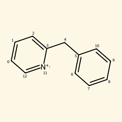 C1=CC=C(Cc2ccccc2)[N+]=C1